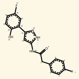 O=C(Cc1ccc(F)cc1)Nc1cc(-c2cc(F)ccc2O)n[nH]1